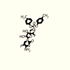 Cc1ccc(OP(=O)(OC[C@@]2(C(F)F)O[C@@H](n3cc(F)c(N)nc3=O)[C@@H](O)[C@@H]2O)Oc2ccc(C)cc2)cc1